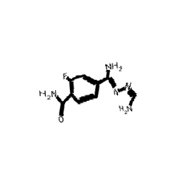 N/C=N\N=C(/N)c1ccc(C(N)=O)c(F)c1